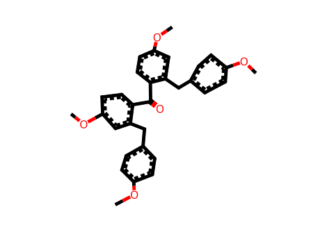 COc1ccc(Cc2cc(OC)ccc2C(=O)c2ccc(OC)cc2Cc2ccc(OC)cc2)cc1